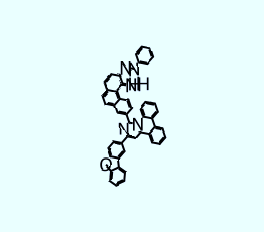 N=C1/C(=N\Nc2ccccc2)C=Cc2ccc3cc(-c4nc(-c5ccc6oc7ccccc7c6c5)cc(-c5ccccc5-c5ccccc5)n4)ccc3c21